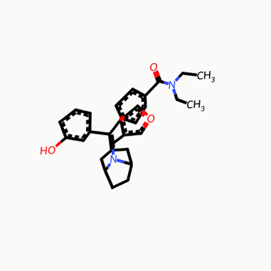 CCN(CC)C(=O)c1ccc(C(=C2CC3CCC(C2)N3Cc2ccoc2)c2cccc(O)c2)cc1